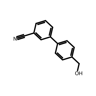 N#Cc1cccc(-c2ccc(CO)cc2)c1